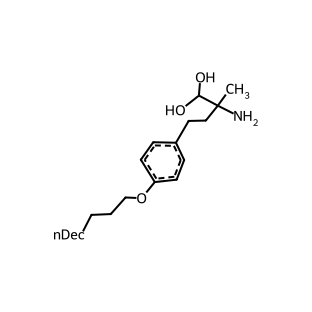 CCCCCCCCCCCCCOc1ccc(CCC(C)(N)C(O)O)cc1